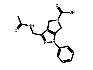 CC(=O)NCc1nn(-c2ccccc2)c2c1CN(C(=O)O)C2